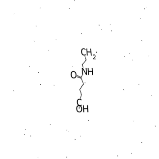 [CH2]CCNC(=O)CCCCO